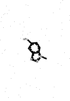 CCCc1ccc2c(c1)nnn2C